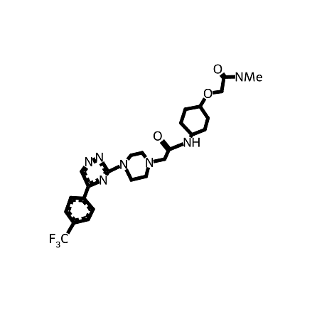 CNC(=O)COC1CCC(NC(=O)CN2CCN(c3nncc(-c4ccc(C(F)(F)F)cc4)n3)CC2)CC1